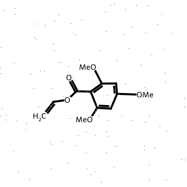 C=COC(=O)c1c(OC)cc(OC)cc1OC